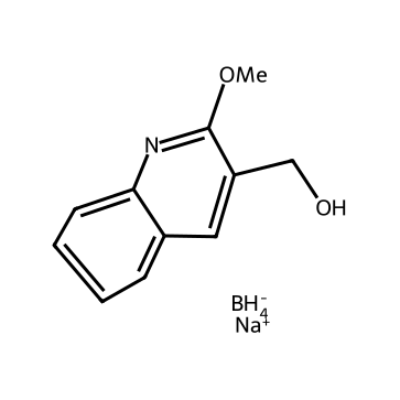 COc1nc2ccccc2cc1CO.[BH4-].[Na+]